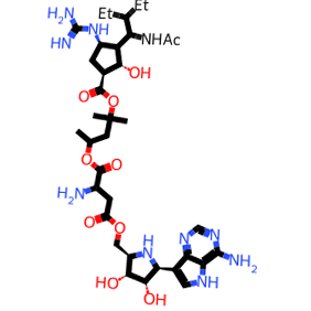 CCC(CC)C(NC(C)=O)C1[C@H](NC(=N)N)C[C@H](C(=O)OC(C)(C)CC(C)OC(=O)C(N)CC(=O)OC[C@H]2N[C@@H](c3c[nH]c4c(N)ncnc34)[C@H](O)[C@@H]2O)[C@H]1O